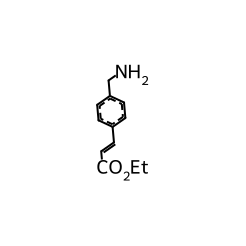 CCOC(=O)/C=C/c1ccc(CN)cc1